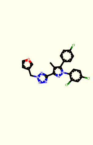 Cc1c(-c2nnn(Cc3ccoc3)n2)nn(-c2ccc(Cl)cc2Cl)c1-c1ccc(Cl)cc1